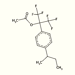 CCC(C)c1ccc(C(OC(C)=O)(C(F)(F)F)C(F)(F)F)cc1